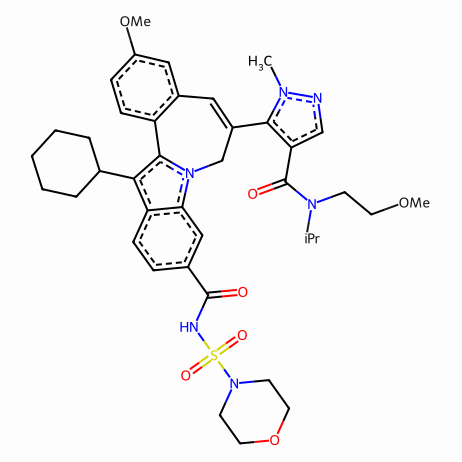 COCCN(C(=O)c1cnn(C)c1C1=Cc2cc(OC)ccc2-c2c(C3CCCCC3)c3ccc(C(=O)NS(=O)(=O)N4CCOCC4)cc3n2C1)C(C)C